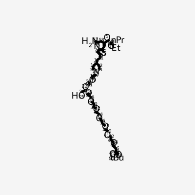 CCCN(OCC)C(=O)C1=Cc2sc(CCC3CCN(CCOCCOC(CO)OCCOCCOCCOCCOCCOCCOCCC(=O)OC(C)(C)C)CC3)cc2N=C(N)C1